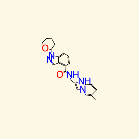 CC1=CN2C=C(CNC(=O)c3cccc4c3cnn4C3CCCCO3)NC2C=C1